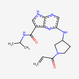 C=CC(=O)N1CCC(Nc2cnc3[nH]cc(C(=O)NC(C)C)c3n2)C1